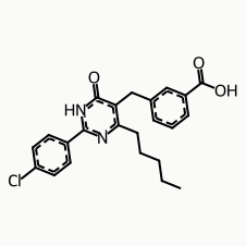 CCCCCc1nc(-c2ccc(Cl)cc2)[nH]c(=O)c1Cc1cccc(C(=O)O)c1